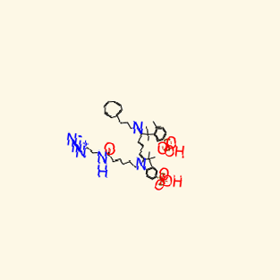 Cc1ccc(S(=O)(=O)O)cc1C(C)(C)C(/C=C/C=C1/N(CCCCCC(=O)NCCCN=[N+]=[N-])c2ccc(S(=O)(=O)O)cc2C1(C)C)=N/CCCC1=C/C=C\C=C/C=C\1